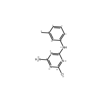 Cc1cccc(Nc2nc(N)nc(Cl)n2)c1